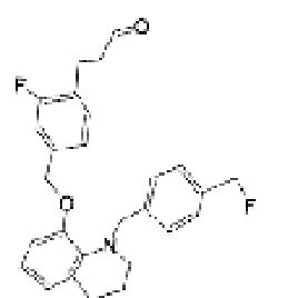 O=CCCc1ccc(COc2cccc3c2N(Cc2ccc(CF)cc2)CCC3)cc1F